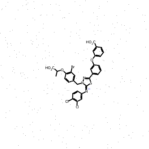 CC(Oc1ccc(Cn2nc(-c3cccc(Oc4cccc(C(=O)O)c4)c3)s/c2=N/c2ccc(Cl)c(Cl)c2)cc1Br)C(=O)O